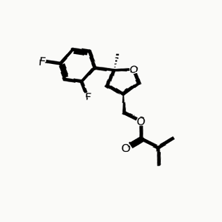 CC(C)C(=O)OC[C@@H]1CO[C@](C)(C2C=CC(F)=CC2F)C1